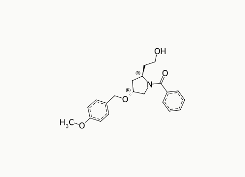 COc1ccc(CO[C@@H]2C[C@@H](CCO)N(C(=O)c3ccccc3)C2)cc1